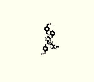 CCOc1ccc(C[C@@H](NC(=O)c2sc(C)nc2C)C(=O)N[C@@H](Cc2ccccc2)C(=O)NCc2ccc(CN)cc2)cc1